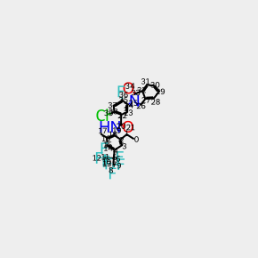 CCc1cc(C(F)(C(F)(F)F)C(F)(F)F)cc(C)c1NC(=O)c1cc(N2Cc3ccccc3C2=O)c(F)cc1Cl